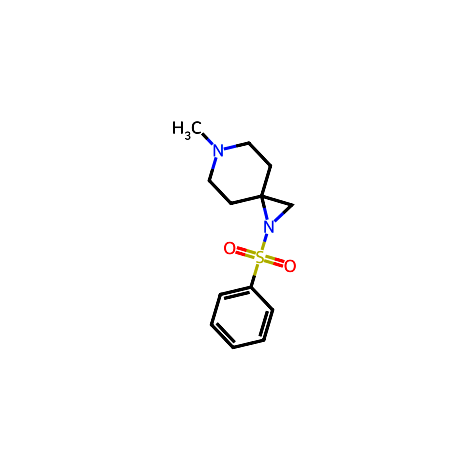 CN1CCC2(CC1)CN2S(=O)(=O)c1ccccc1